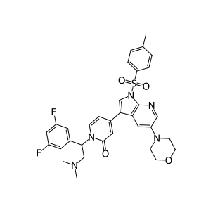 Cc1ccc(S(=O)(=O)n2cc(-c3ccn(C(CN(C)C)c4cc(F)cc(F)c4)c(=O)c3)c3cc(N4CCOCC4)cnc32)cc1